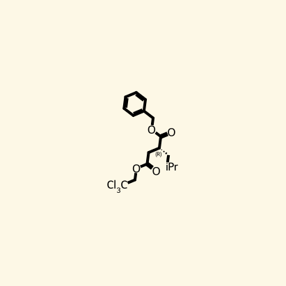 CC(C)C[C@H](CC(=O)OCC(Cl)(Cl)Cl)C(=O)OCc1ccccc1